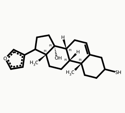 C[C@]12CCC(S)CC1=CC[C@@H]1[C@H]2CC[C@]2(C)C(c3ccoc3)CC[C@@]12O